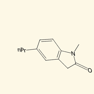 CCCc1ccc2c(c1)CC(=O)N2C